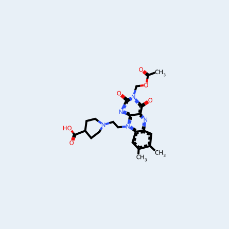 CC(=O)OCn1c(=O)nc2n(CCN3CCC(C(=O)O)CC3)c3cc(C)c(C)cc3nc-2c1=O